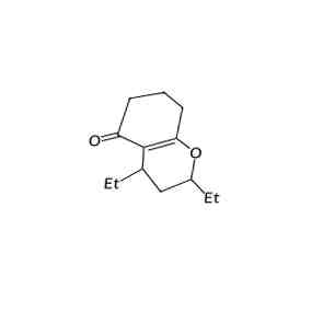 CCC1CC(CC)C2=C(CCCC2=O)O1